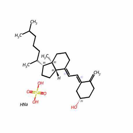 C=C1CC[C@H](O)C/C1=C\C=C1/CCC[C@]2(C)[C@@H](C(C)CCCC(C)C)CC[C@@H]12.O=S(=O)(O)O.[NaH]